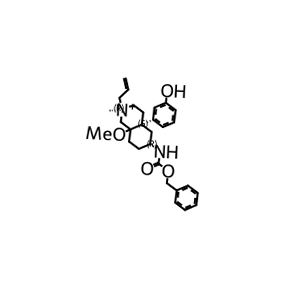 C=CC[N@@+]1(C)CC[C@@]2(c3cccc(O)c3)C[C@H](NC(=O)OCc3ccccc3)CCC2(OC)C1